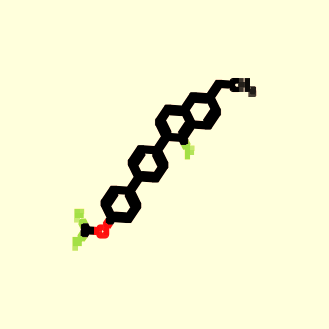 CCc1ccc2c(F)c(-c3ccc(-c4ccc(OC(F)F)cc4)cc3)ccc2c1